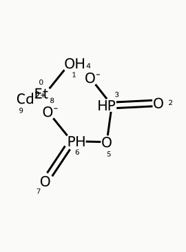 CCO.O=[PH]([O-])O[PH](=O)[O-].[Cd+2]